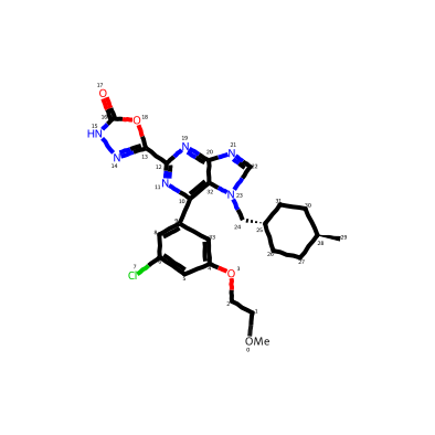 COCCOc1cc(Cl)cc(-c2nc(-c3n[nH]c(=O)o3)nc3ncn(C[C@H]4CC[C@H](C)CC4)c23)c1